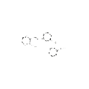 O=[N+]([O-])c1cccnc1Nc1cccc(/C=C/c2cccnc2O)c1